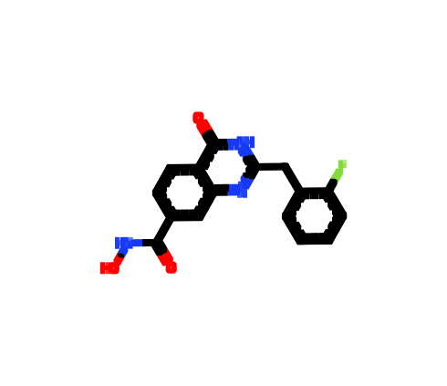 O=C(NO)c1ccc2c(=O)[nH]c(Cc3ccccc3F)nc2c1